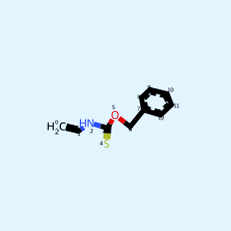 C=CNC(=S)OCc1ccccc1